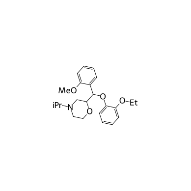 CCOc1ccccc1OC(c1ccccc1OC)C1CN(C(C)C)CCO1